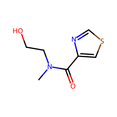 CN(CCO)C(=O)c1cscn1